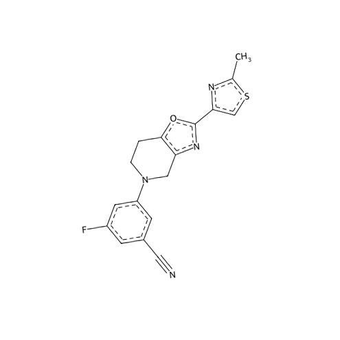 Cc1nc(-c2nc3c(o2)CCN(c2cc(F)cc(C#N)c2)C3)cs1